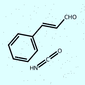 N=C=O.O=CC=Cc1ccccc1